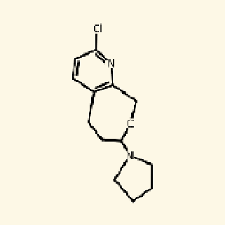 Clc1ccc2c(n1)CCC(N1CCCC1)CC2